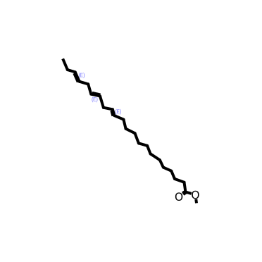 CC/C=C/C/C=C/C/C=C/CCCCCCCCCCCC(=O)OC